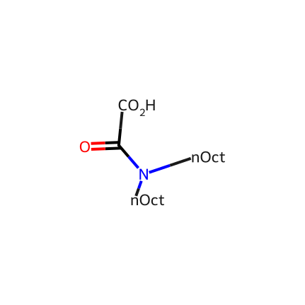 CCCCCCCCN(CCCCCCCC)C(=O)C(=O)O